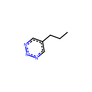 CCCc1[c]nnnc1